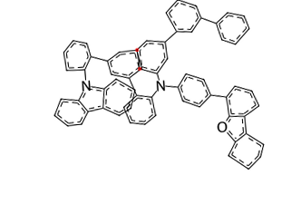 c1ccc(-c2cccc(-c3cccc(N(c4ccc(-c5cccc6c5oc5ccccc56)cc4)c4ccccc4-c4cccc(-c5ccccc5-n5c6ccccc6c6ccccc65)c4)c3)c2)cc1